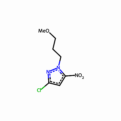 COCCCn1nc(Cl)cc1[N+](=O)[O-]